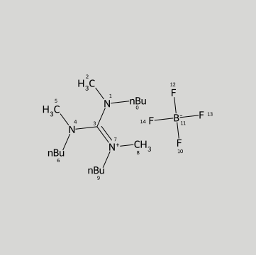 CCCCN(C)C(N(C)CCCC)=[N+](C)CCCC.F[B-](F)(F)F